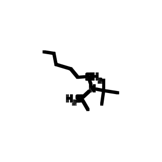 CCCCC[SiH2]N([SiH2]C)C(C)(C)C